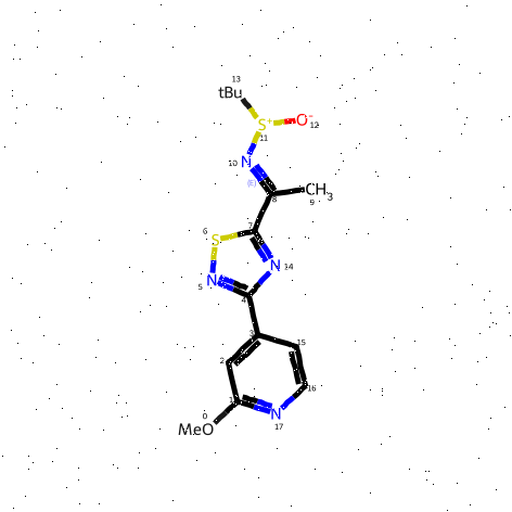 COc1cc(-c2nsc(/C(C)=N/[S+]([O-])C(C)(C)C)n2)ccn1